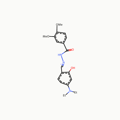 CCN(CC)c1ccc(/C=N/NC(=O)c2ccc(OC)c(OC)c2)c(O)c1